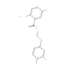 COc1ccc(Cl)cc1C(=O)NCCc1ccc(Cl)c(C(=O)O)c1